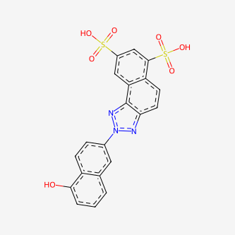 O=S(=O)(O)c1cc(S(=O)(=O)O)c2ccc3nn(-c4ccc5c(O)cccc5c4)nc3c2c1